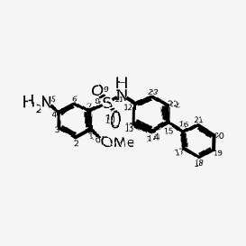 COc1ccc(N)cc1S(=O)(=O)Nc1ccc(-c2ccccc2)cc1